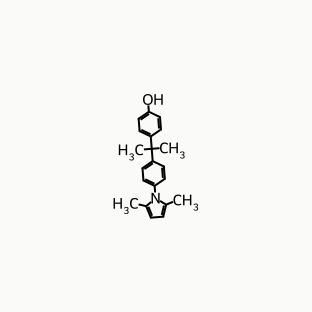 Cc1ccc(C)n1-c1ccc(C(C)(C)c2ccc(O)cc2)cc1